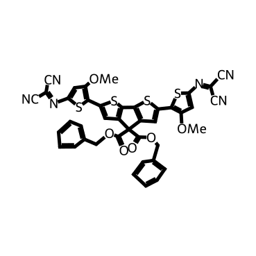 COc1cc(N=C(C#N)C#N)sc1-c1cc2c(s1)-c1sc(-c3sc(N=C(C#N)C#N)cc3OC)cc1C2(C(=O)OCc1ccccc1)C(=O)OCc1ccccc1